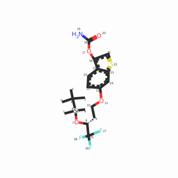 CC(C)(C)[Si](C)(C)O[C@H](CCOc1ccc2c(OC(N)=O)csc2c1)C(F)(F)F